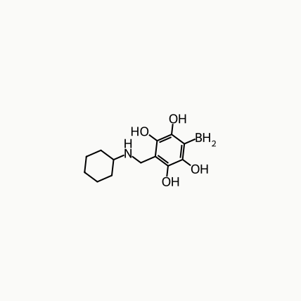 Bc1c(O)c(O)c(CNC2CCCCC2)c(O)c1O